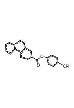 N#Cc1ccc(OC(=O)c2ccc3c(ccc4ccccc43)c2)cc1